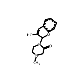 CN1CCN(C2Oc3ccccc3C=C2O)C(=O)C1